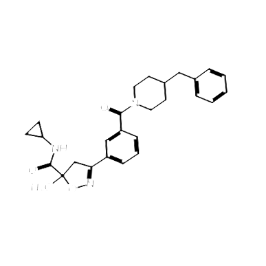 CC1(C(=O)NC2CC2)CC(c2cccc(C(=O)N3CCC(Cc4ccccc4)CC3)c2)=NO1